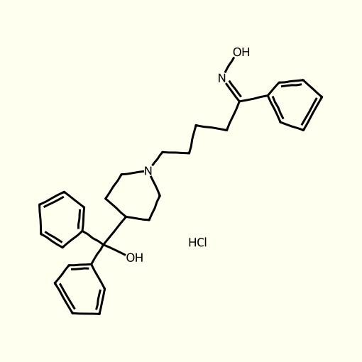 Cl.ON=C(CCCCN1CCC(C(O)(c2ccccc2)c2ccccc2)CC1)c1ccccc1